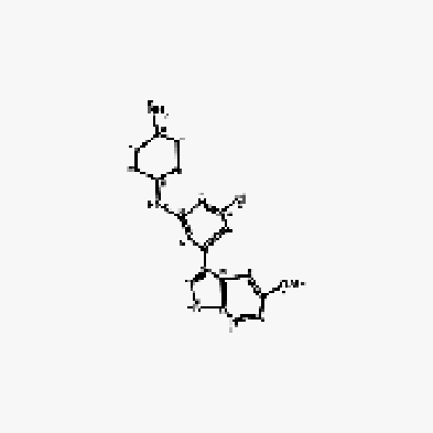 COc1cnc2[nH]cc(-c3cc(Cl)nc(NC4CCC(N)CC4)c3)c2c1